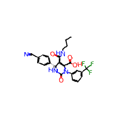 CCCCNC(=O)C1=C(C(=O)O)N(c2cccc(C(F)(F)F)c2)C(=O)N[C@@H]1c1ccc(C#N)cc1